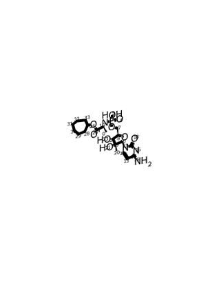 C[C@H](NP(=O)(O)OC[C@H]1O[C@@H](n2ccc(N)nc2=O)[C@](C)(O)[C@@H]1O)C(=O)OC1CCCCCC1